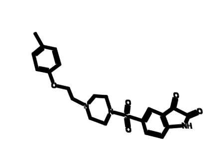 Cc1ccc(OCCN2CCN(S(=O)(=O)c3ccc4c(c3)C(=O)C(=O)N4)CC2)cc1